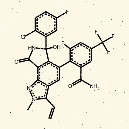 C=Cc1c2cc(-c3c(F)cc(C(F)(F)F)cc3C(N)=O)c3c(c2nn1C)C(=O)NC3(O)c1cc(F)ccc1Cl